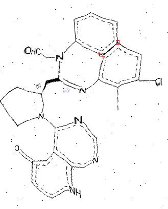 Cc1c(Cl)cccc1/N=C(/[C@@H]1CCCN1c1ncnc2[nH]ccc(=O)c12)N(C=O)c1ccccc1